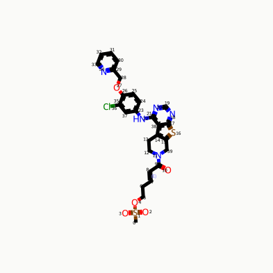 CS(=O)(=O)OCC/C=C/C(=O)N1CCc2c(sc3ncnc(Nc4ccc(OCc5ccccn5)c(Cl)c4)c23)C1